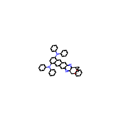 c1ccc(N(c2ccccc2)c2ccc(N(c3ccccc3)c3ccccc3)c3cc4cc5nc6c(nc5cc4cc23)C2c3ccccc3C63c4cccc2c43)cc1